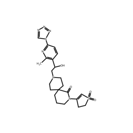 Cc1nc(-n2cnnn2)ccc1C(O)CN1CCC2(CCCN(C3=CS(=O)(=O)CC3)C2=O)CC1